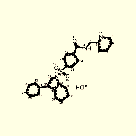 Cl.O=C(NCc1ccccn1)c1ccc(S(=O)(=O)n2cc(-c3ccccc3)c3ccccc32)cc1